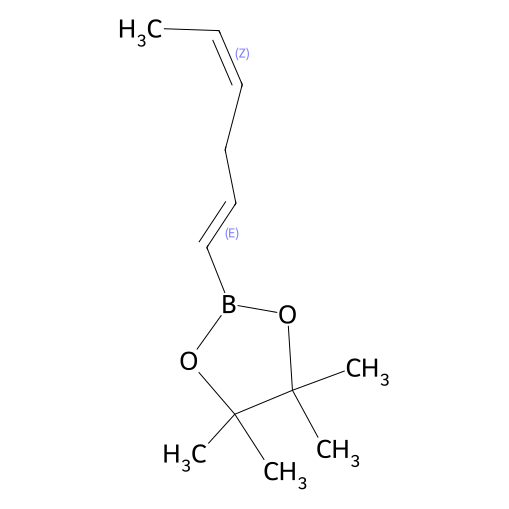 C/C=C\C/C=C/B1OC(C)(C)C(C)(C)O1